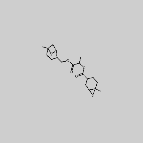 CC(OC(=O)C1CCC2(C)SC2C1)C(=O)OCC1CCC2(C)CC1S2